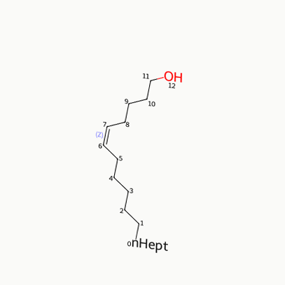 CCCCCCCCCCCC/C=C\CCCCO